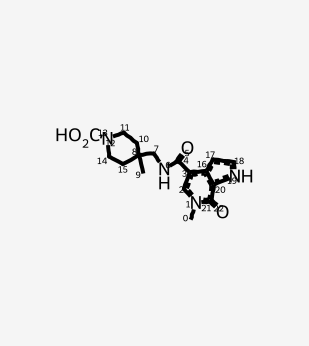 Cn1cc(C(=O)NCC2(C)CCN(C(=O)O)CC2)c2cc[nH]c2c1=O